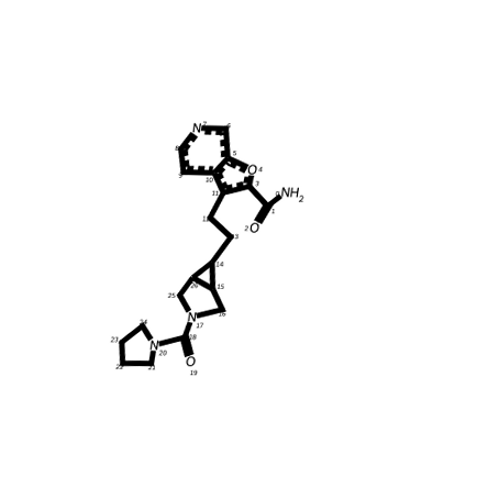 NC(=O)c1oc2cnccc2c1CCC1C2CN(C(=O)N3CCCC3)CC12